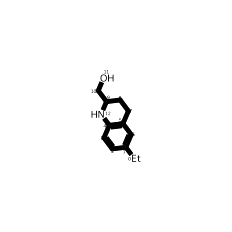 CCc1ccc2c(c1)CCC(CO)N2